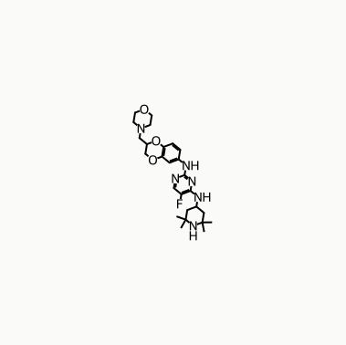 CC1(C)CC(Nc2nc(Nc3ccc4c(c3)OCC(CN3CCOCC3)O4)ncc2F)CC(C)(C)N1